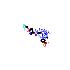 C=C(/N=C(N)\N=C(/N)c1noc(-c2ccc(OCC(F)(F)F)nc2)n1)Nc1cccc(C(=O)OC)c1